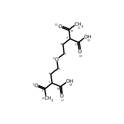 CC(=O)C(CCOCCC(C(C)=O)C(=O)O)C(=O)O